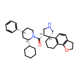 O=C([C@@H]1CNC[C@]12CCCc1c2ccc2c1OCC2)N1CC[C@@H](c2ccccc2)C[C@H]1C1CCCCC1